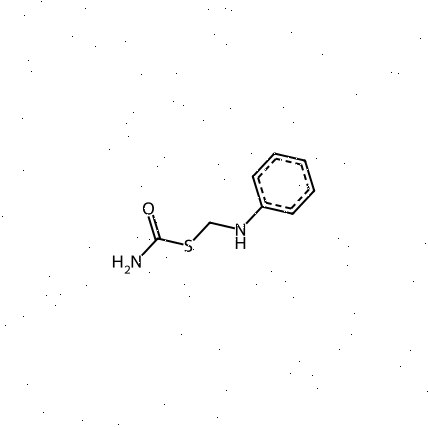 NC(=O)SCNc1ccccc1